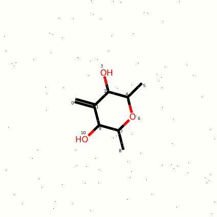 C=C1C(O)C(C)OC(C)C1O